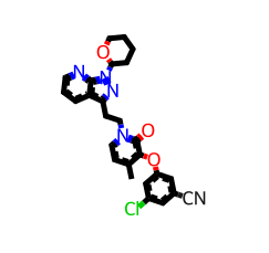 Cc1ccn(CCc2nn(C3CCCCO3)c3ncccc23)c(=O)c1Oc1cc(Cl)cc(C#N)c1